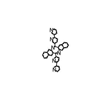 c1cncc(-c2ccc(/C3=N/c4cc5ccccc5cc4/C(c4ccc(-c5cccnc5)nc4)=N\c4cc5ccccc5cc43)cn2)c1